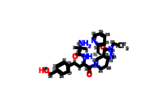 CC(C)(N)C(=O)NC(CCc1ccc(CO)cc1)C(=O)N1CCC2=NN(CC(F)(F)F)C(=O)[C@]2(Cc2ccccn2)C1